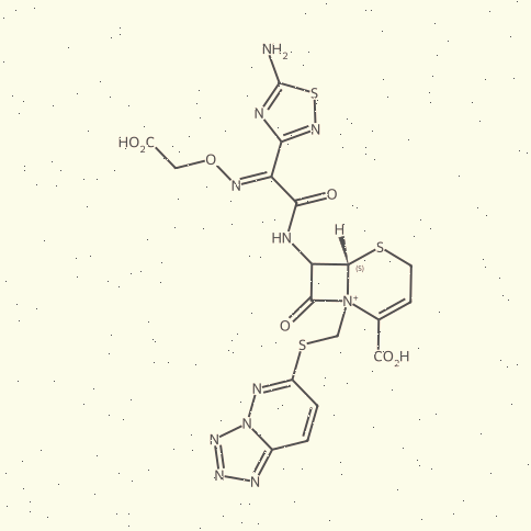 Nc1nc(C(=NOCC(=O)O)C(=O)NC2C(=O)[N+]3(CSc4ccc5nnnn5n4)C(C(=O)O)=CCS[C@@H]23)ns1